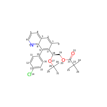 Cc1cc2cccnc2c(-c2ccc(Cl)cc2)c1[C@@H](COC(=O)C(C)(C)C)OC(C)(C)C